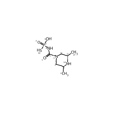 CC1CN(C(=O)NP(=O)(O)S)CC(C)N1